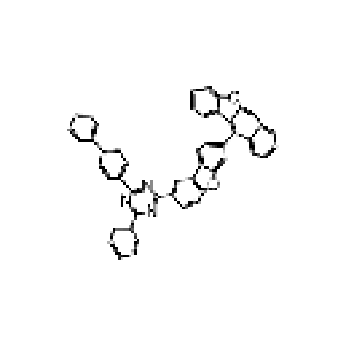 c1ccc(-c2ccc(-c3nc(-c4ccccc4)nc(-c4ccc5oc6cc(-c7c8ccccc8cc8oc9ccccc9c78)ccc6c5c4)n3)cc2)cc1